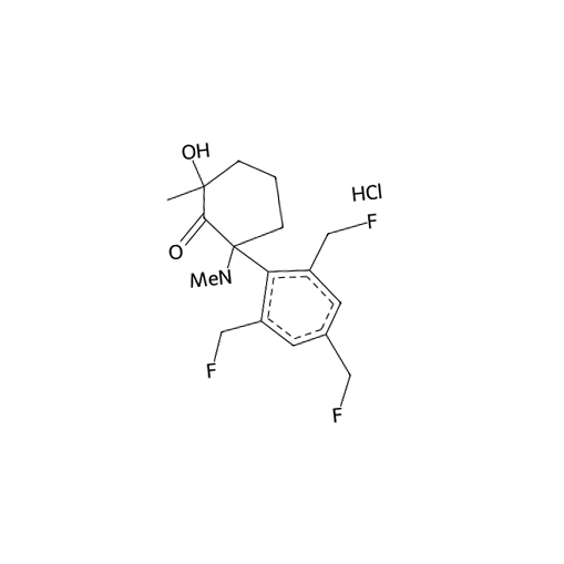 CNC1(c2c(CF)cc(CF)cc2CF)CCCC(C)(O)C1=O.Cl